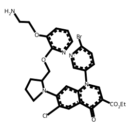 CCOC(=O)c1cn(-c2ccc(Br)nc2)c2cc(N3CCCC3COc3ncccc3OCCN)c(Cl)cc2c1=O